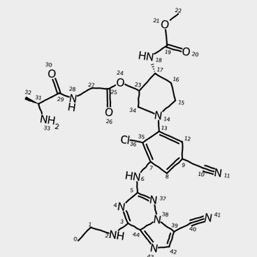 CCNc1nc(Nc2cc(C#N)cc(N3CC[C@@H](NC(=O)OC)C(OC(=O)CNC(=O)[C@H](C)N)C3)c2Cl)nn2c(C#N)cnc12